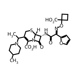 CC1CCN(C(C)C2=C(C(=O)O)N3C(=O)[C@@H](NC(=O)C(=NOC4(C(=O)O)CCC4)c4ccco4)[C@H]3SC2)CC1